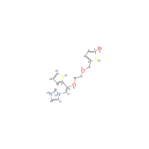 Brc1ccc(COCCO/C(=C/n2ccnc2)c2cccs2)s1